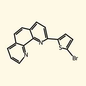 Brc1ccc(-c2ccc3ccc4cccnc4c3n2)s1